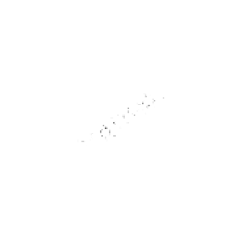 O=C(Nc1nc2cc(F)ccc2s1)N1CCN(c2ncc(C[C@H](O)CO)cc2F)CC1